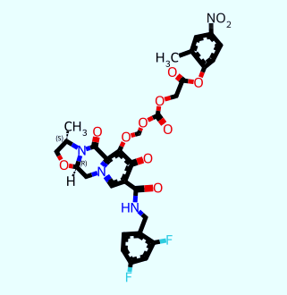 Cc1cc([N+](=O)[O-])ccc1OC(=O)COC(=O)OCOc1c2n(cc(C(=O)NCc3ccc(F)cc3F)c1=O)C[C@H]1OC[C@H](C)N1C2=O